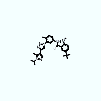 COc1ccc(C(C)(C)C)cc1C(=O)Nc1ccc(C)c(-n2cc(-c3cnn(C(C)C)c3C)nn2)c1